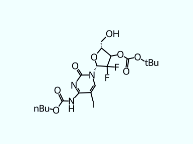 CCCCOC(=O)Nc1nc(=O)n([C@@H]2O[C@H](CO)C(OC(=O)OC(C)(C)C)C2(F)F)cc1I